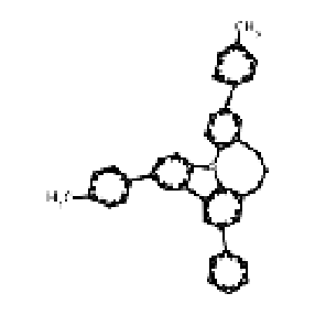 Cc1ccc(-c2ccc3c(c2)CCCc2cc(-c4ccccc4)cc4c2B3c2ccc(-c3ccc(C)cc3)cc2-4)cc1